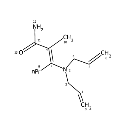 C=CCN(CC=C)/C(CCC)=C(\C)C(N)=O